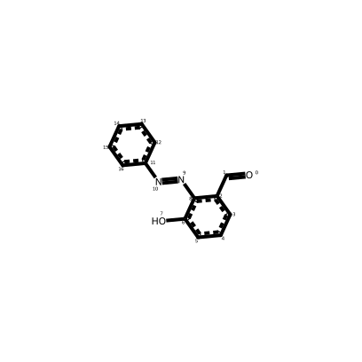 O=Cc1cccc(O)c1N=Nc1ccccc1